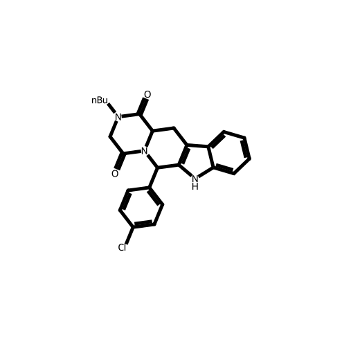 CCCCN1CC(=O)N2C(Cc3c([nH]c4ccccc34)C2c2ccc(Cl)cc2)C1=O